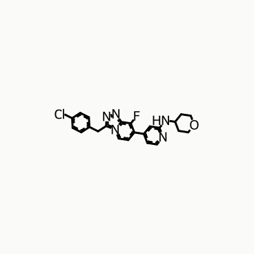 Fc1c(-c2ccnc(NC3CCOCC3)c2)ccn2c(Cc3ccc(Cl)cc3)nnc12